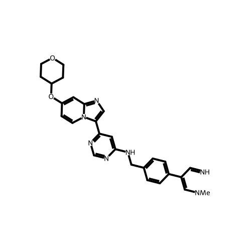 CN/C=C(\C=N)c1ccc(CNc2cc(-c3cnc4cc(OC5CCOCC5)ccn34)ncn2)cc1